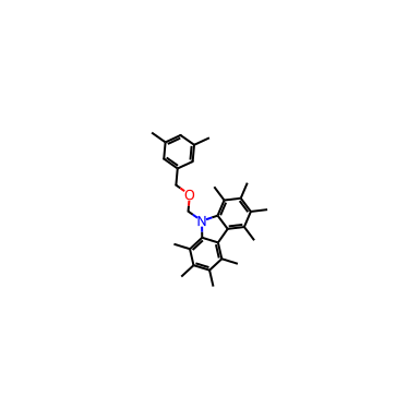 Cc1cc(C)cc(COCn2c3c(C)c(C)c(C)c(C)c3c3c(C)c(C)c(C)c(C)c32)c1